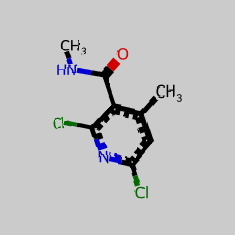 CNC(=O)c1c(C)cc(Cl)nc1Cl